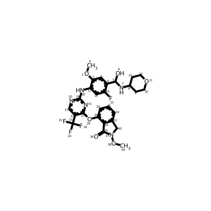 COc1cc(C(O)NC2CCOCC2)c(F)cc1Nc1ncc(C(F)(F)F)c(Oc2cccc3c2C(=O)N(OC)C3)n1